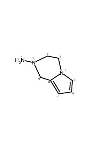 NN1CCn2cccc2C1